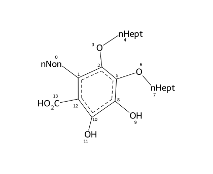 CCCCCCCCCc1c(OCCCCCCC)c(OCCCCCCC)c(O)c(O)c1C(=O)O